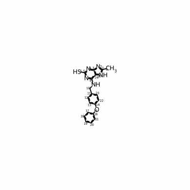 Cc1nc2nc(S)nc(NCc3ccc(Oc4ccccc4)cc3)c2[nH]1